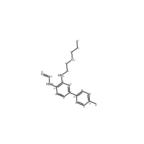 CCCOCCNc1nc(-c2ccc(C)cc2)ccc1NN=O